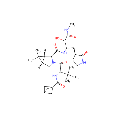 CNC(=O)C(O)[C@H](C[C@@H]1CCNC1=O)NC(=O)[C@@H]1[C@@H]2[C@H](CN1C(=O)[C@@H](NC(=O)C13CC(C1)C3)C(C)(C)C)C2(C)C